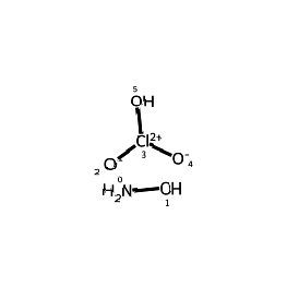 NO.[O-][Cl+2]([O-])O